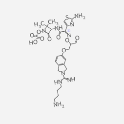 CC1(C)C(NC(=O)/C(=N\OC(C=O)COc2ccc3c(c2)CN(C(=N)NCCCCN)C3)c2csc(N)n2)C(=O)N1OS(=O)(=O)O